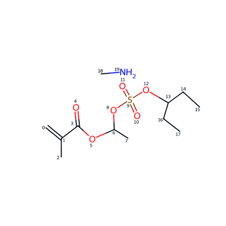 C=C(C)C(=O)OC(C)OS(=O)(=O)OC(CC)CC.CN